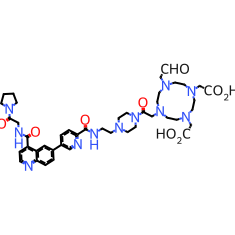 O=CCN1CCN(CC(=O)O)CCN(CC(=O)O)CCN(CC(=O)N2CCN(CCNC(=O)c3ccc(-c4ccc5nccc(C(=O)NCC(=O)N6CCCC6)c5c4)cn3)CC2)CC1